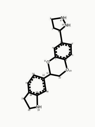 c1cc2c(cc1C1CCNN1)OC(c1ccc3c(c1)NCC3)CO2